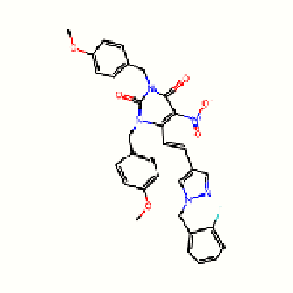 COc1ccc(Cn2c(C=Cc3cnn(Cc4ccccc4F)c3)c([N+](=O)[O-])c(=O)n(Cc3ccc(OC)cc3)c2=O)cc1